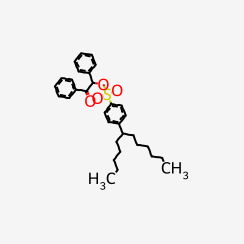 CCCCCCC(CCCCC)c1ccc(S(=O)(=O)OC(C(=O)c2ccccc2)c2ccccc2)cc1